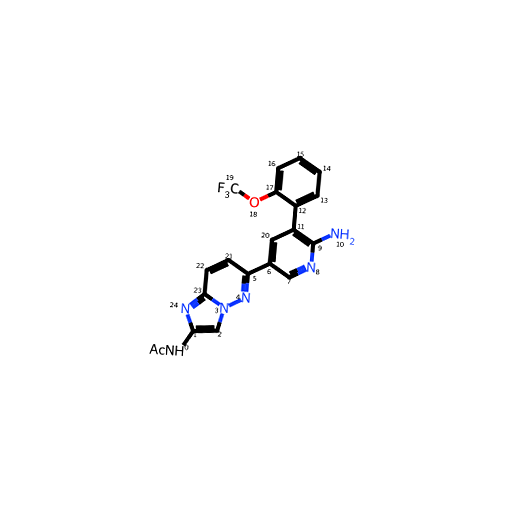 CC(=O)Nc1cn2nc(-c3cnc(N)c(-c4ccccc4OC(F)(F)F)c3)ccc2n1